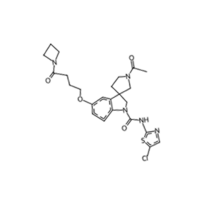 CC(=O)N1CCC2(C1)CN(C(=O)Nc1ncc(Cl)s1)c1ccc(OCCCC(=O)N3CCC3)cc12